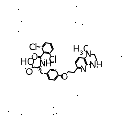 CN1CCNc2nc(CCOc3ccc(C[C@H](NC(=O)c4c(Cl)cccc4Cl)C(=O)O)cc3)ccc21